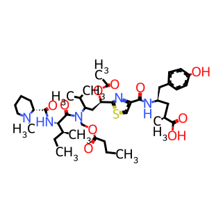 CCCC(=O)OCN(C(=O)[C@@H](NC(=O)[C@H]1CCCCN1C)[C@@H](C)CC)C(C[C@@H](OC(C)=O)c1nc(C(=O)N[C@@H](Cc2ccc(O)cc2)C[C@H](C)C(=O)O)cs1)C(C)C